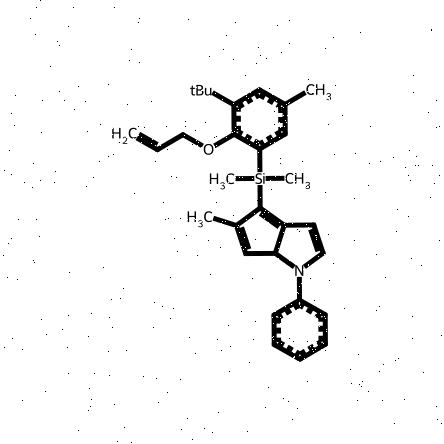 C=CCOc1c(C(C)(C)C)cc(C)cc1[Si](C)(C)C1=C2C=CN(c3ccccc3)C2C=C1C